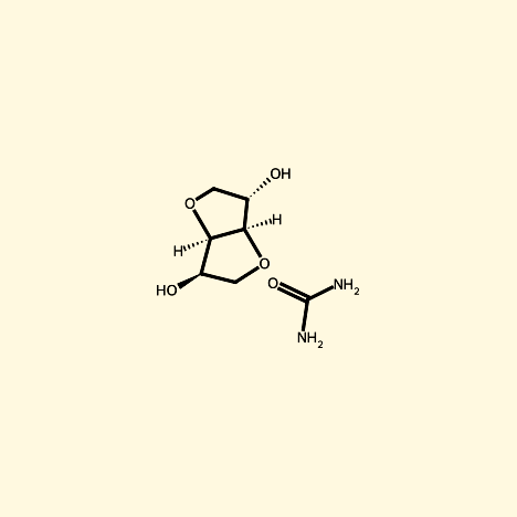 NC(N)=O.O[C@@H]1CO[C@H]2[C@@H]1OC[C@@H]2O